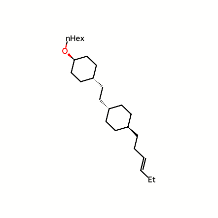 CC/C=C/CC[C@H]1CC[C@H](CC[C@H]2CC[C@H](OCCCCCC)CC2)CC1